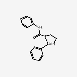 S=C(Nc1ccccc1)N1CCN=C1c1ccccc1